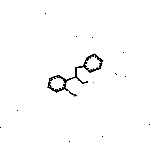 CCC(C)c1ccccc1[C](Cc1ccccc1)CC(F)(F)F